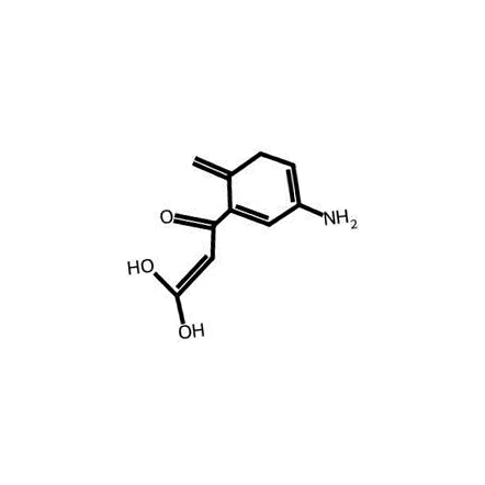 C=C1CC=C(N)C=C1C(=O)C=C(O)O